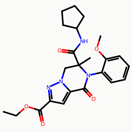 CCOC(=O)c1cc2n(n1)CC(C)(C(=O)NC1CCCC1)N(c1ccccc1OC)C2=O